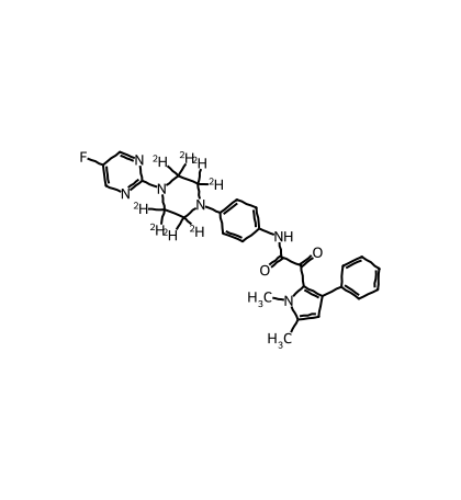 [2H]C1([2H])N(c2ccc(NC(=O)C(=O)c3c(-c4ccccc4)cc(C)n3C)cc2)C([2H])([2H])C([2H])([2H])N(c2ncc(F)cn2)C1([2H])[2H]